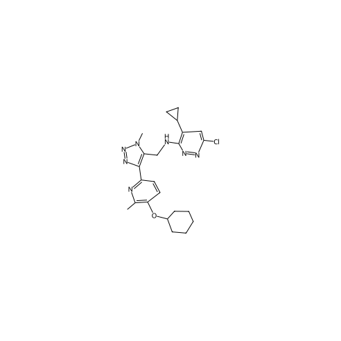 Cc1nc(-c2nnn(C)c2CNc2nnc(Cl)cc2C2CC2)ccc1OC1CCCCC1